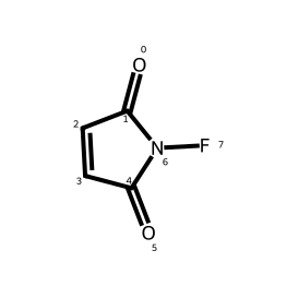 O=C1C=CC(=O)N1F